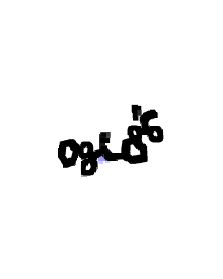 C=C(F)C(=O)Oc1cccc(/C=C(\F)C(=O)Oc2ccccc2)c1